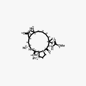 COC(=O)N[C@@H]1C(=O)N2CC[C@H](C(C)C)[C@H]2C(=O)N[C@H](C#N)CC2C[C@@H](CCCCC1(C)C)NC2=O